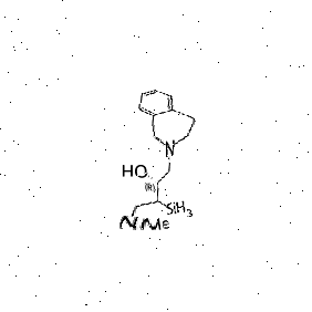 CNCC([SiH3])[C@H](O)CN1CCc2ccccc2C1